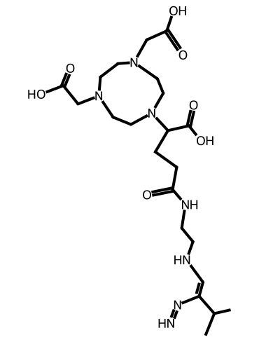 CC(C)/C(=C/NCCNC(=O)CCC(C(=O)O)N1CCN(CC(=O)O)CCN(CC(=O)O)CC1)N=N